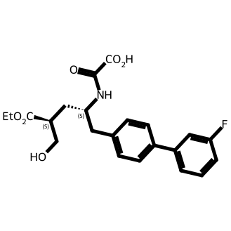 CCOC(=O)[C@H](CO)C[C@@H](Cc1ccc(-c2cccc(F)c2)cc1)NC(=O)C(=O)O